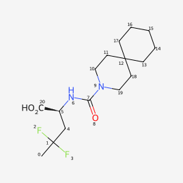 CC(F)(F)C[C@H](NC(=O)N1CCC2(CCCCC2)CC1)C(=O)O